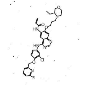 C=CC(=O)Nc1cc2c(Nc3ccc(OCc4cccc(F)n4)c(Cl)c3)ncnc2cc1OCCCN1CCOC[C@@H]1CC